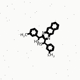 Cc1cccc(C(S)c2nc3cc4ccccc4cc3nc2C(S)c2cccc(C)c2)c1